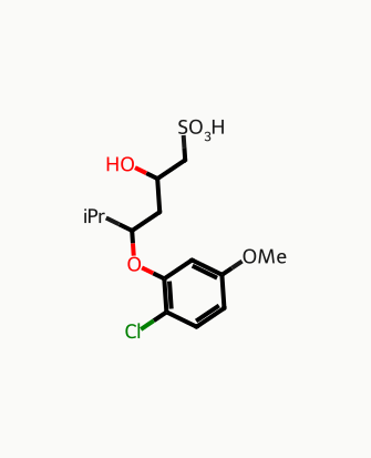 COc1ccc(Cl)c(OC(CC(O)CS(=O)(=O)O)C(C)C)c1